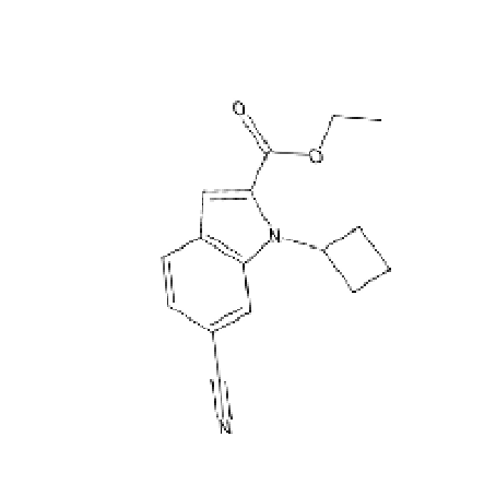 CCOC(=O)c1cc2ccc(C#N)cc2n1C1CCC1